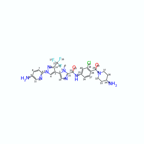 Cn1c(-c2cn(-c3ccc(N)cn3)nc2C(F)(F)F)cnc1C(=O)Nc1ccc(C(=O)N2CCC(N)CC2)c(Cl)c1